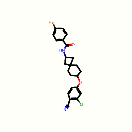 N#Cc1ccc(OC2CCC3(CC2)CC(NC(=O)c2ccc(S)cc2)C3)cc1Cl